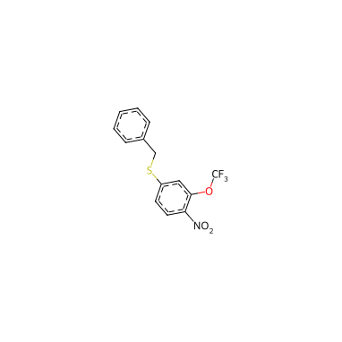 O=[N+]([O-])c1ccc(SCc2ccccc2)cc1OC(F)(F)F